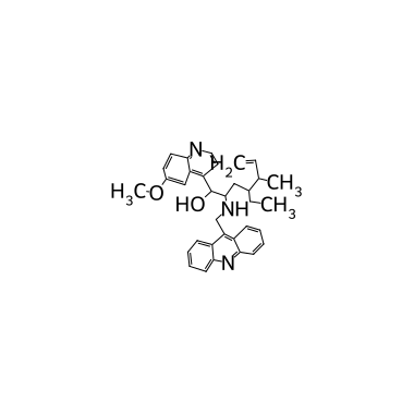 C=CC(C)C(CC)CC(NCc1c2ccccc2nc2ccccc12)C(O)c1ccnc2ccc(OC)cc12